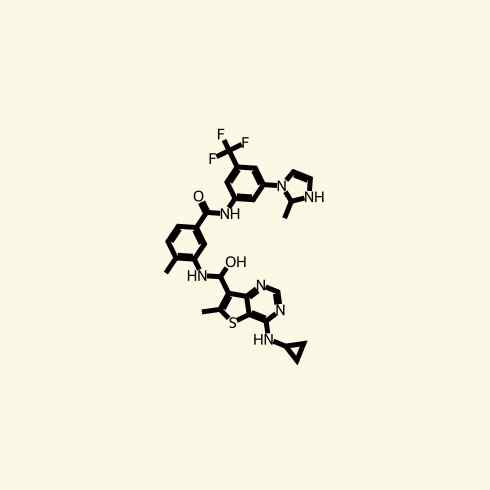 Cc1ccc(C(=O)Nc2cc(N3C=CNC3C)cc(C(F)(F)F)c2)cc1NC(O)c1c(C)sc2c(NC3CC3)ncnc12